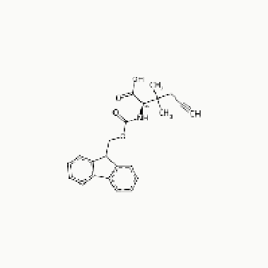 C#CCC(C)(C)[C@@H](NC(=O)OCC1c2ccccc2-c2ccccc21)C(=O)O